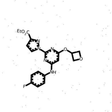 CCOC(=O)c1ccn(-c2nc(Nc3ccc(F)cc3)cc(OC3COC3)n2)n1